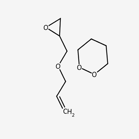 C1CCOOC1.C=CCOCC1CO1